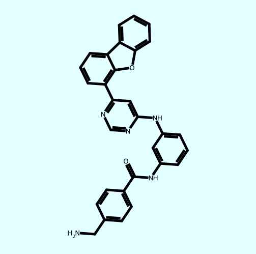 NCc1ccc(C(=O)Nc2cccc(Nc3cc(-c4cccc5c4oc4ccccc45)ncn3)c2)cc1